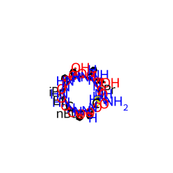 CCCC[C@H]1C(=O)N(C)CC(=O)N[C@@H](CC)C(=O)N[C@@H](C(C)C)C(=O)N(C)[C@@H](Cc2ccccc2)C(=O)N[C@@H](Cc2ccc(O)cc2)C(=O)N(C)CC(=O)N[C@@H](Cc2c[nH]c3ccccc23)C(=O)N[C@@H](Cc2ccc(O)cc2)C(=O)N[C@@H](CC(C)C)C(=O)N[C@H](C(=O)NCC(N)=O)CSCC(=O)N[C@@H](Cc2ccccc2)C(=O)N(C)[C@@H](Cc2ccccc2)C(=O)N1C